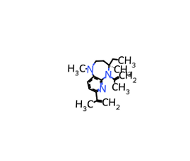 C=C(C)c1ccc2c(n1)N(C(=C)C)[C@](C)(CC)CCN2C